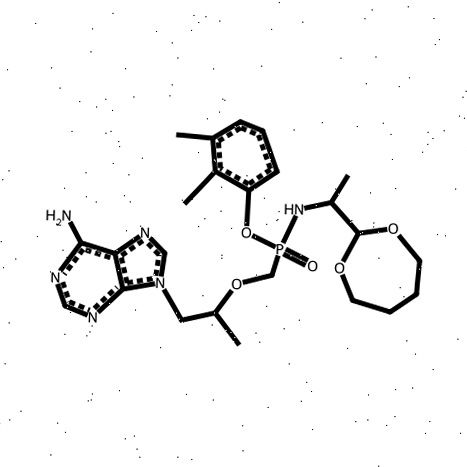 Cc1cccc(OP(=O)(COC(C)Cn2cnc3c(N)ncnc32)NC(C)C2OCCCCO2)c1C